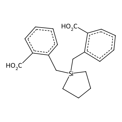 O=C(O)c1ccccc1C[Si]1(Cc2ccccc2C(=O)O)CCCC1